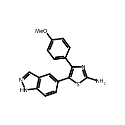 COc1ccc(-c2nc(N)sc2-c2ccc3[nH]ncc3c2)cc1